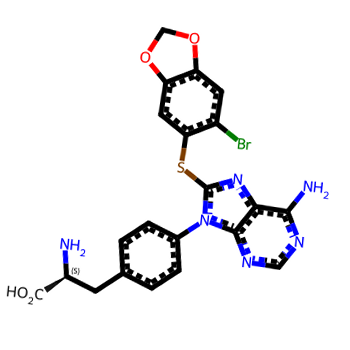 Nc1ncnc2c1nc(Sc1cc3c(cc1Br)OCO3)n2-c1ccc(C[C@H](N)C(=O)O)cc1